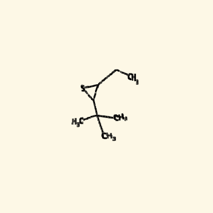 CCC1SC1C(C)(C)C